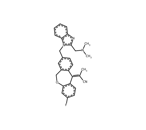 CC(C#N)=C1c2ccc(Cn3c(CN(C)C)nc4ccccc43)cc2COc2cc(F)ccc21